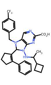 CC(NN1c2nc(C(=O)O)ncc2N(Cc2ccc(C(F)(F)F)cc2)C1C1=C(c2ccccc2)CCC1)C1CCC1